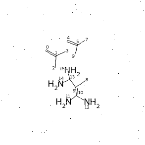 C=C(C)C.C=C(C)C.CC(=C(N)N)C(N)N